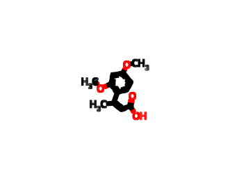 COc1ccc(/C(C)=C\C(=O)O)c(OC)c1